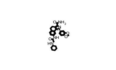 NC(=O)c1nn(-c2ccc3c(c2)OCO3)c2c1CCc1ccc(NC(=O)CNC3CCCCC3)cc1-2